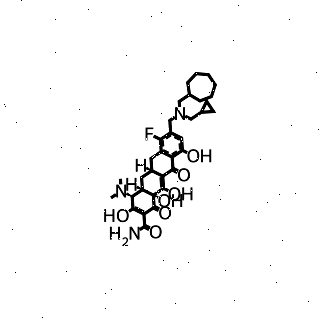 CN(C)[C@@H]1C(O)=C(C(N)=O)C(=O)[C@@]2(O)C(O)=C3C(=O)c4c(O)cc(CN(CC5CCCCCC5)CC5CC5)c(F)c4C[C@H]3C[C@@H]12